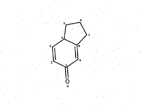 O=C1C=CC2CCCC2=C1